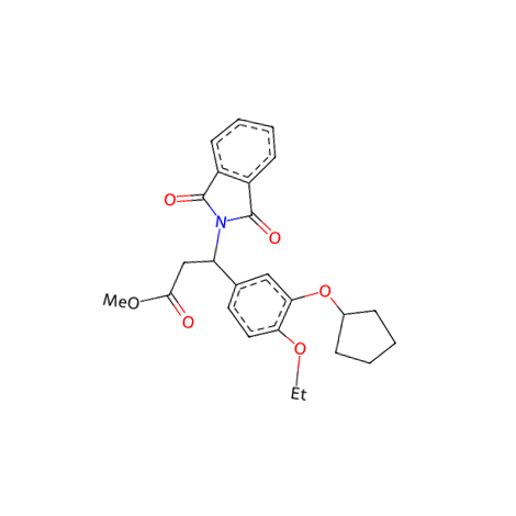 CCOc1ccc(C(CC(=O)OC)N2C(=O)c3ccccc3C2=O)cc1OC1CCCC1